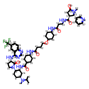 CC(C)N(C)[C@@H]1CC[C@H](N2CC[C@H](Nc3ncnc4ccc(C(F)(F)F)cc34)C2=O)[C@H](NC(=O)C2CCC(NC(=O)CCCOC3CCC(NC(=O)CCNC(=O)[C@H]4CC(=O)N(C)[C@@H]4c4cccnc4)CC3)CC2)C1